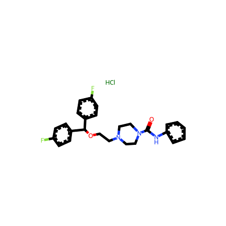 Cl.O=C(Nc1ccccc1)N1CCN(CCOC(c2ccc(F)cc2)c2ccc(F)cc2)CC1